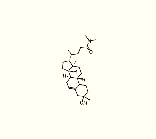 CC(CCC(=O)N(C)C)[C@H]1CC[C@H]2[C@@H]3CC=C4C[C@@](C)(O)CC[C@]4(C)[C@H]3CC[C@]12C